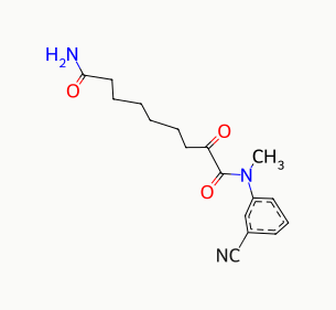 CN(C(=O)C(=O)CCCCCCC(N)=O)c1cccc(C#N)c1